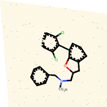 O=C(O)N(Cc1ccccc1)CC1Cc2cccc(-c3c(Cl)cccc3Cl)c2O1